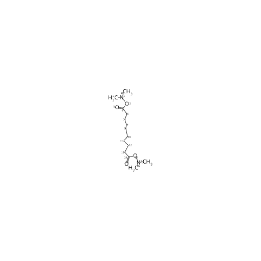 CN(C)OC(=O)CCCCCCCCC(=O)ON(C)C